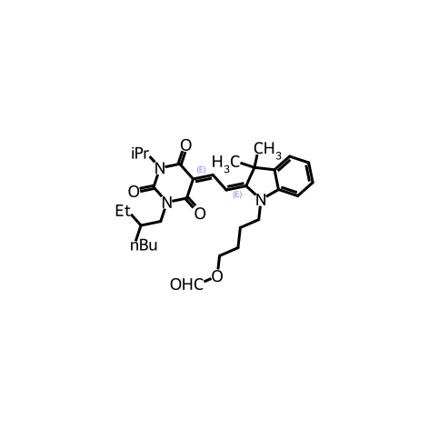 CCCCC(CC)CN1C(=O)/C(=C\C=C2\N(CCCCOC=O)c3ccccc3C2(C)C)C(=O)N(C(C)C)C1=O